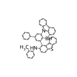 Cc1ccccc1Nc1ccc2sc3ccccc3c2c1-c1cc(-c2ccccc2)cc2c1Bc1cccc3c4ccccc4n-2c13